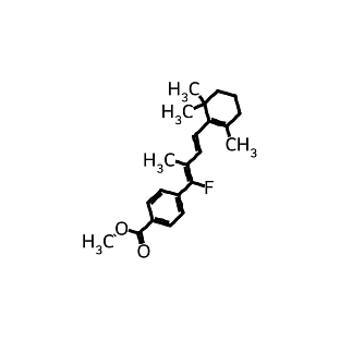 COC(=O)c1ccc(/C(F)=C(C)/C=C/C2=C(C)CCCC2(C)C)cc1